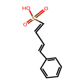 O=S(=O)(O)C=CC=Cc1ccccc1